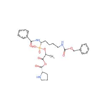 CC(OP(=O)(O)C(CCCCNC(=O)OCc1ccccc1)NC(=O)c1ccccc1)C(=O)OC(=O)[C@@H]1CCCN1